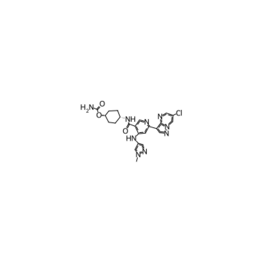 Cn1cc(Nc2cc(-c3cnn4cc(Cl)cnc34)ncc2C(=O)N[C@H]2CC[C@H](OC(N)=O)CC2)cn1